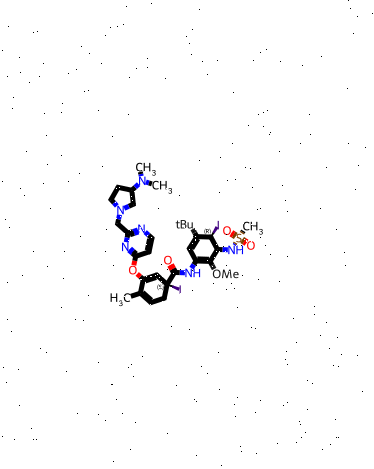 COC1=C(NC(=O)[C@@]2(I)C=C(Oc3ccnc(CN4CCC(N(C)C)C4)n3)C(C)=CC2)C=C(C(C)(C)C)[C@@H](I)C1NS(C)(=O)=O